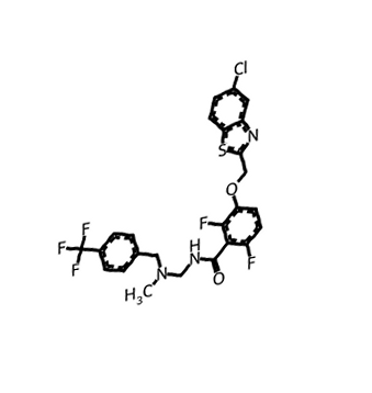 CN(CNC(=O)c1c(F)ccc(OCc2nc3cc(Cl)ccc3s2)c1F)Cc1ccc(C(F)(F)F)cc1